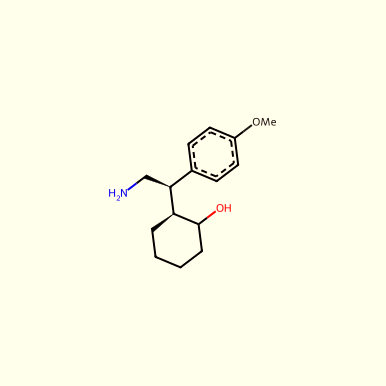 COc1ccc([C@H](CN)[C@@H]2CCCCC2O)cc1